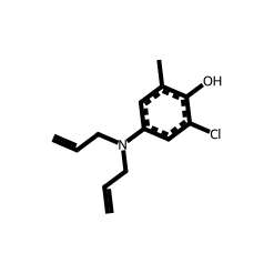 C=CCN(CC=C)c1cc(C)c(O)c(Cl)c1